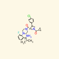 CC(C)[C@H](N)c1cccc(F)c1N1CCN(C(=O)[C@H]2CN(C(=O)C3CC3)C[C@@H]2c2ccc(Cl)cc2)CC1